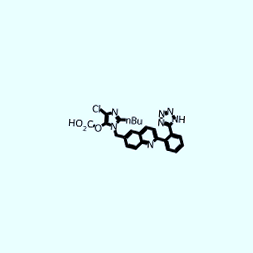 CCCCc1nc(Cl)c(OC(=O)O)n1Cc1ccc2nc(-c3ccccc3-c3nnn[nH]3)ccc2c1